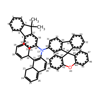 CC1(C)c2ccccc2-c2ccc(N(C3=C(C4C=CC=CC4)C4CC=CC=C4C=C3)c3ccc4c(c3)C3(c5ccccc5Oc5ccccc53)c3ccccc3-4)cc21